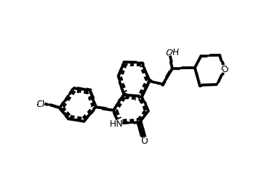 O=c1cc2c(CC(O)C3CCOCC3)cccc2c(-c2ccc(Cl)cc2)[nH]1